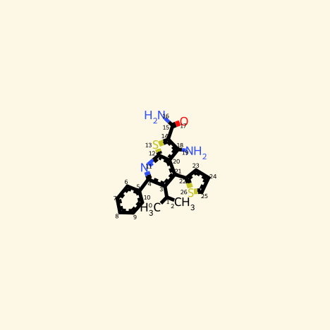 CC(C)c1c(-c2ccccc2)nc2sc(C(N)=O)c(N)c2c1-c1cccs1